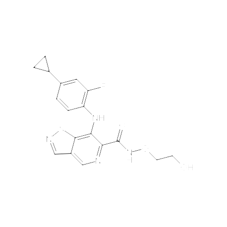 O=C(NOCCO)c1ncc2cnsc2c1Nc1ccc(C2CC2)cc1F